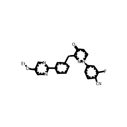 CCOc1cnc(-c2cccc(Cc3nn(-c4ccc(C#N)c(F)c4)ccc3=O)c2)nc1